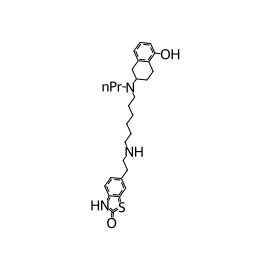 CCCN(CCCCCCNCCc1ccc2[nH]c(=O)sc2c1)C1CCc2c(O)cccc2C1